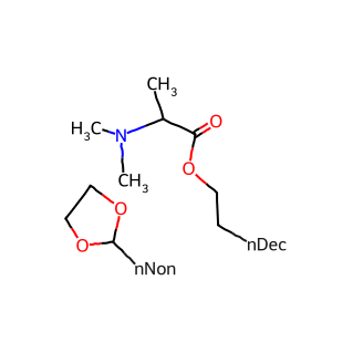 CCCCCCCCCC1OCCO1.CCCCCCCCCCCCOC(=O)C(C)N(C)C